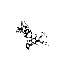 CCSC(SCC)=C1C(=O)N(CC2CCC2)C(=O)N(C2CCC3(CC2)CC2(C3)NC(=O)N(C)C2=O)C1=O